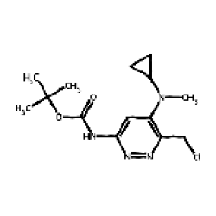 CN(c1cc(NC(=O)OC(C)(C)C)nnc1CCl)C1CC1